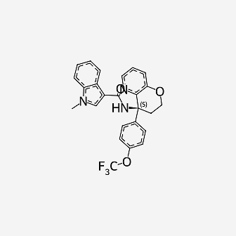 Cn1cc(C(=O)N[C@]2(c3ccc(OC(F)(F)F)cc3)CCOc3cccnc32)c2ccccc21